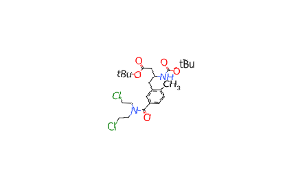 Cc1ccc(C(=O)N(CCCl)CCCl)cc1CC(CC(=O)OC(C)(C)C)NC(=O)OC(C)(C)C